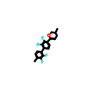 Cc1ccc(-c2ccc(C3=CCC(C)CO3)c(F)c2F)c(F)c1F